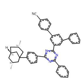 C[C@@H]1C[C@@H]2C[C@H](C)CC(c3ccc(-c4nc(-c5ccccc5)nc(-c5cc(-c6ccccc6)cc(-c6ccc(C#N)cc6)c5)n4)cc3)(C1)C2